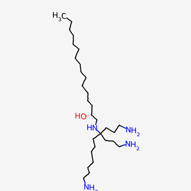 CCCCCCCCCCCCCC[C@@H](O)CNC(CCCN)(CCCN)CCCCCCCN